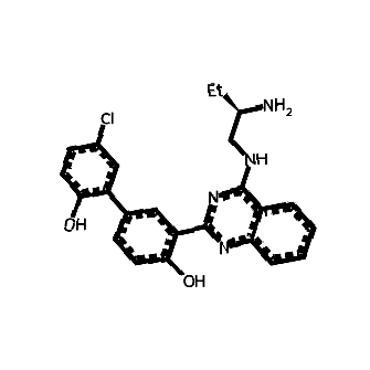 CC[C@@H](N)CNc1nc(-c2cc(-c3cc(Cl)ccc3O)ccc2O)nc2ccccc12